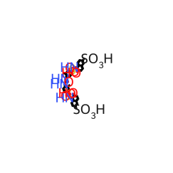 Cc1cc(S(=O)(=O)Nc2c(O)ccc3cc(S(=O)(=O)O)ccc23)ccc1NC(=O)Nc1ccc(S(=O)(=O)Nc2c(O)ccc3cc(S(=O)(=O)O)ccc23)cc1C